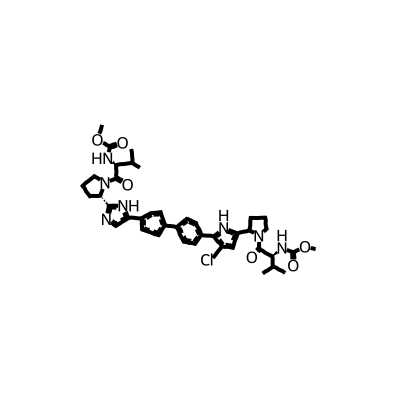 COC(=O)N[C@H](C(=O)N1CCCC1c1cc(Cl)c(-c2ccc(-c3ccc(-c4cnc([C@@H]5CCCN5C(=O)[C@@H](NC(=O)OC)C(C)C)[nH]4)cc3)cc2)[nH]1)C(C)C